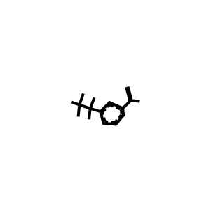 C=C(C)c1cccc(C(C)(C)C(C)(C)C)c1